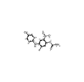 NC(=O)Oc1cc(F)c(Nc2ncc(Cl)cn2)cc1[N+](=O)[O-]